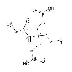 O=C(O)CCC(CCO)(CCC(=O)O)NC(=O)CO